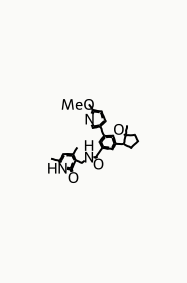 COc1ccc(-c2cc(C(=O)NCc3c(C)cc(C)[nH]c3=O)cc3c2OC2(C)CCCC32)cn1